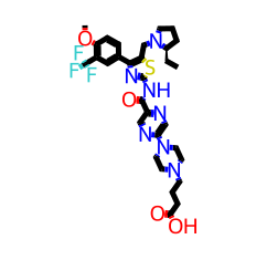 CC[C@@H]1CCCN1Cc1sc(NC(=O)c2cnc(N3CCN(CCCC(=O)O)CC3)cn2)nc1-c1ccc(OC)c(C(F)(F)F)c1